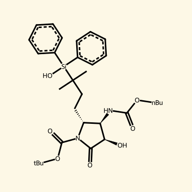 CCCCOC(=O)N[C@@H]1[C@@H](CCC(C)(C)[Si](O)(c2ccccc2)c2ccccc2)N(C(=O)OC(C)(C)C)C(=O)[C@@H]1O